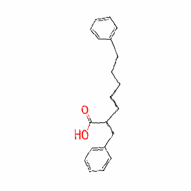 O=C(O)C(CCCCCc1ccccc1)Cc1ccccc1